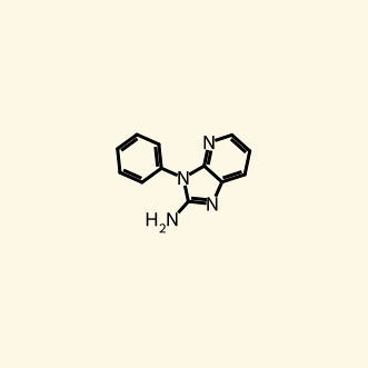 Nc1nc2cccnc2n1-c1ccccc1